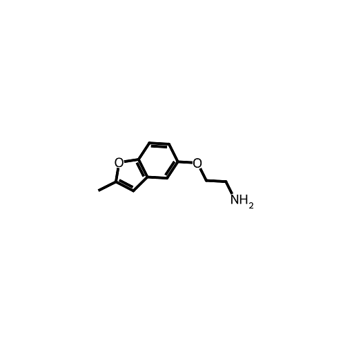 Cc1cc2cc(OCCN)ccc2o1